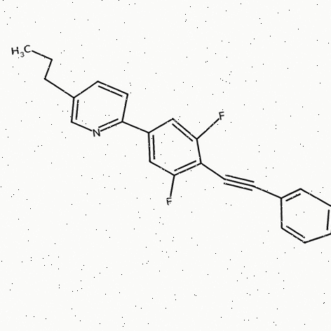 CCCc1ccc(-c2cc(F)c(C#Cc3ccc(Cl)c(F)c3)c(F)c2)nc1